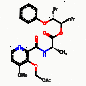 CCC[C@@H](OC(=O)[C@H](C)NC(=O)c1nccc(OC)c1OCOC(C)=O)[C@H](Oc1ccccc1)C(C)C